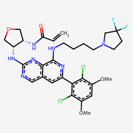 C=CC(=O)N[C@H]1COC[C@H]1Nc1ncc2cc(-c3c(Cl)c(OC)cc(OC)c3Cl)nc(NCCCCN3CCC(F)(F)C3)c2n1